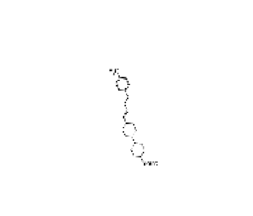 CCCCC[C@H]1CC[C@H]([C@H]2CC[C@H](C=CCCc3ccc(C(F)(F)F)cc3)CC2)CC1